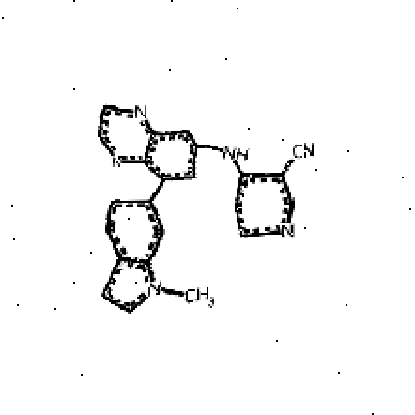 Cn1ccc2ccc(-c3cc(Nc4ccncc4C#N)cc4nccnc34)cc21